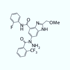 COCc1nc2c(C(=O)Nc3ccccc3F)cc(N(N)C(=O)c3ccccc3C(F)(F)F)cc2[nH]1